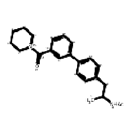 CC(=O)NC(C)Cc1ccc(-c2cccc(C(=O)N3CCCCC3)c2)cc1